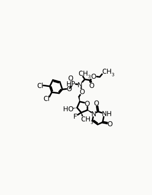 CCOC(=O)C(C)N(OC[C@H]1O[C@@H](n2ccc(=O)[nH]c2=O)[C@](C)(F)[C@@H]1O)[PH](=O)Oc1ccc(Cl)c(Cl)c1